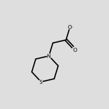 [O]C(=O)CN1CCSCC1